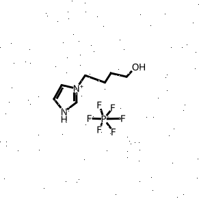 F[P-](F)(F)(F)(F)F.OCCCC[n+]1cc[nH]c1